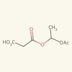 CC(=O)OC(C)OC(=O)CC(=O)O